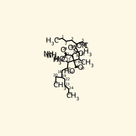 CCCCC(CC)CCC(C)C(C(=O)O)(C(C)CCC(CC)CCCC)C(C(=O)O)S(=O)(=O)O.N.N